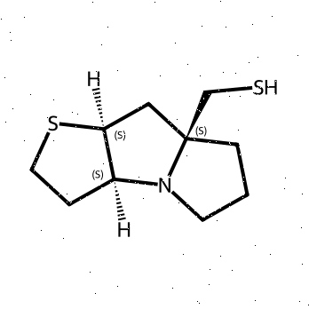 SC[C@@]12CCCN1[C@H]1CCS[C@H]1C2